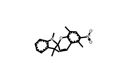 Cc1cc([N+](=O)[O-])c(C)c2c1OC1(C=C2)N(C)c2ccccc2C1(C)C